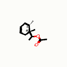 CC(=O)OC(C)[C@]1(C)CC=CC[C@@H]1C